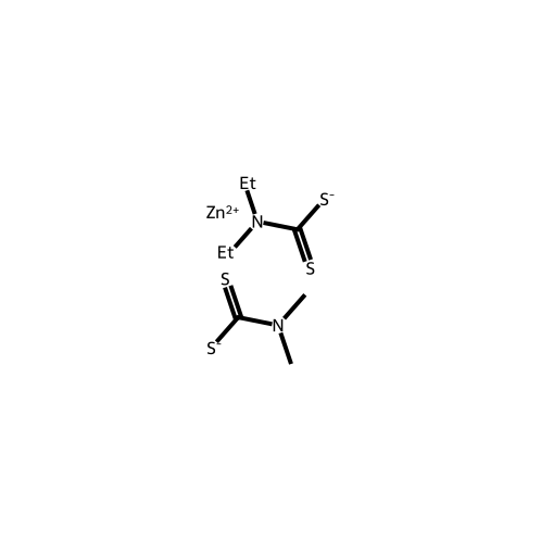 CCN(CC)C(=S)[S-].CN(C)C(=S)[S-].[Zn+2]